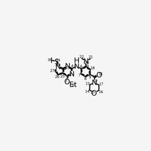 CCOc1nc(Nc2ccc(C(=O)N3CCOCC3)cc2N(C)C)nc2c1ccn2SI